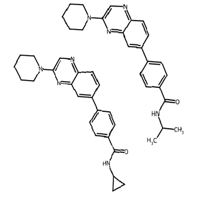 CC(C)NC(=O)c1ccc(-c2ccc3ncc(N4CCCCC4)nc3c2)cc1.O=C(NC1CC1)c1ccc(-c2ccc3ncc(N4CCCCC4)nc3c2)cc1